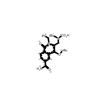 CCCCOc1c(CN(C(=O)O)C(C)(C)C)n(CC(C)C)c(=O)c2ccc(C(N)=O)cc12